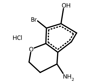 Cl.NC1CCOc2c1ccc(O)c2Br